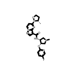 C[C@H]1CCON1c1ccn2ncc(C(=O)N[C@@H]3CN(C)C[C@@H]3Oc3ccc(F)cn3)c2n1